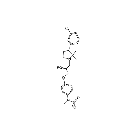 CN(c1ccc(OC[C@@H](O)CN2CC[C@H](c3cccc(Cl)c3)C2(C)C)cc1)[SH](=O)=O